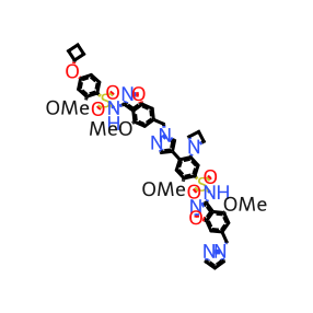 COc1cc(OC2CCC2)ccc1S(=O)(=O)Nc1noc2cc(Cn3cc(-c4cc(OC)c(S(=O)(=O)Nc5noc6cc(Cn7cccn7)cc(OC)c56)cc4N4CCC4)cn3)cc(OC)c12